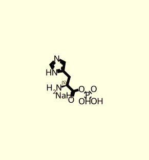 N[C@@H](Cc1cnc[nH]1)C(=O)OP(=O)(O)O.[NaH]